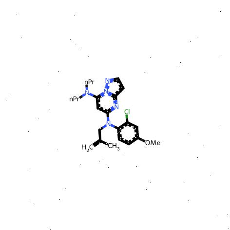 C=C(C)CN(c1cc(N(CCC)CCC)n2nccc2n1)c1ccc(OC)cc1Cl